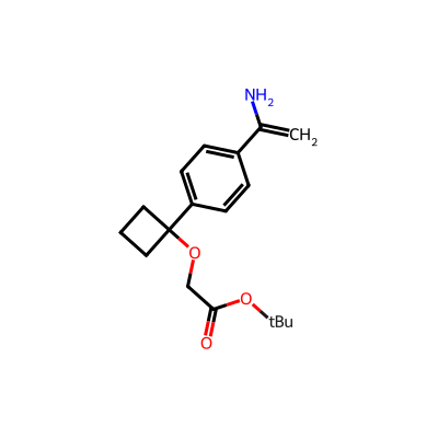 C=C(N)c1ccc(C2(OCC(=O)OC(C)(C)C)CCC2)cc1